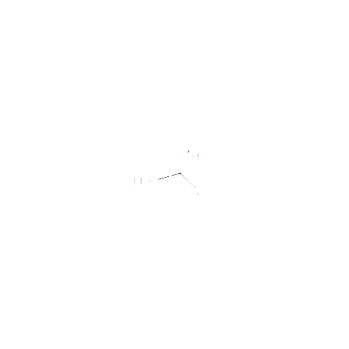 CCCl.[MgH2]